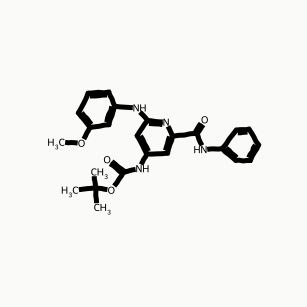 COc1cccc(Nc2cc(NC(=O)OC(C)(C)C)cc(C(=O)Nc3ccccc3)n2)c1